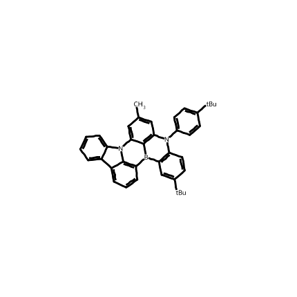 Cc1cc2c3c(c1)-n1c4ccccc4c4cccc(c41)B3c1cc(C(C)(C)C)ccc1N2c1ccc(C(C)(C)C)cc1